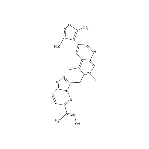 CC(=NO)c1ccc2nnc(Cc3c(F)cc4ncc(-c5c(C)noc5C)cc4c3F)n2n1